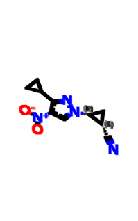 N#C[C@H]1C[C@H]1n1cc([N+](=O)[O-])c(C2CC2)n1